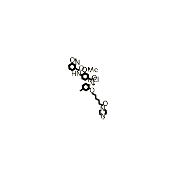 COc1cc(C(=O)N(C)c2ccc(C)cc2OCCCCCC(=O)N2CCN(C)CC2)ccc1NC(=O)c1cccc2ocnc12.Cl